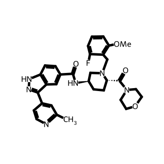 COc1cccc(F)c1CN1C[C@H](NC(=O)c2ccc3[nH]nc(-c4ccnc(C)c4)c3c2)CC[C@H]1C(=O)N1CCOCC1